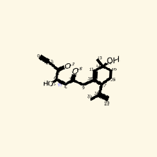 C#CC(=O)/C(O)=C\C(=O)CC1=CC(C)(O)CCC1C(=C)C